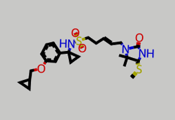 C=S=C1NC(=O)N(C/C=C/CCS(=O)(=O)NC2(c3cccc(OCC4CC4)c3)CC2)C1(C)C